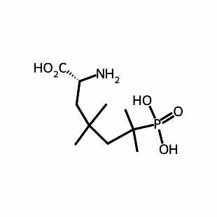 CC(C)(C[C@@H](N)C(=O)O)CC(C)(C)P(=O)(O)O